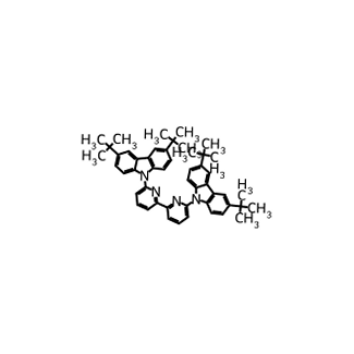 CC(C)(C)c1ccc2c(c1)c1cc(C(C)(C)C)ccc1n2-c1cccc(-c2cccc(-n3c4ccc(C(C)(C)C)cc4c4cc(C(C)(C)C)ccc43)n2)n1